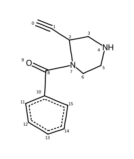 C#CC1CNCCN1C(=O)c1ccccc1